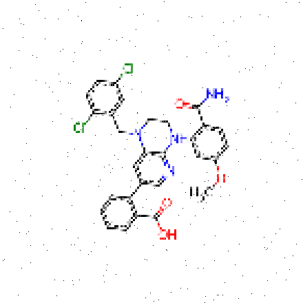 COc1ccc(C(N)=O)cc1.O=C(O)c1ccccc1-c1cnc2c(c1)N(Cc1cc(Cl)ccc1Cl)CCN2